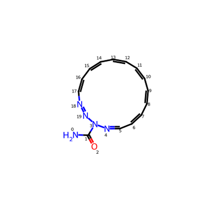 NC(=O)n1ncccccccccccccnn1